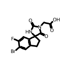 O=C(O)CN1C(=O)NC2(CCc3cc(Br)c(F)cc32)C1=O